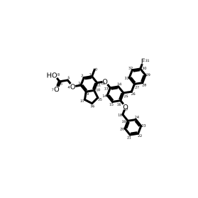 Cc1cc(OCC(=O)O)c2c(c1Oc1ccc(OCc3ccccc3)c(Cc3ccc(F)cc3)c1)CCC2